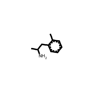 Cc1ccccc1CC(C)N